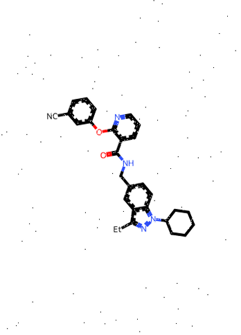 CCc1nn(C2CCCCC2)c2ccc(CNC(=O)c3cccnc3Oc3cccc(C#N)c3)cc12